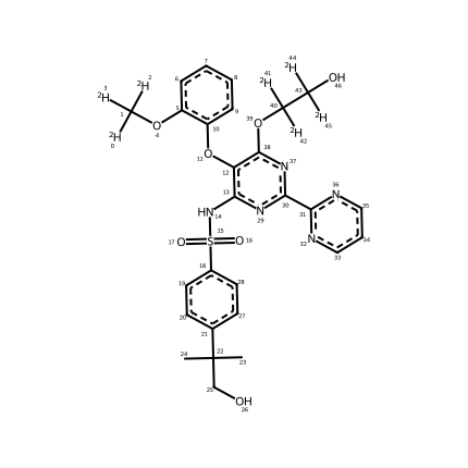 [2H]C([2H])([2H])Oc1ccccc1Oc1c(NS(=O)(=O)c2ccc(C(C)(C)CO)cc2)nc(-c2ncccn2)nc1OC([2H])([2H])C([2H])([2H])O